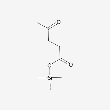 CC(=O)CCC(=O)O[Si](C)(C)C